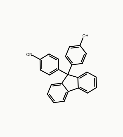 O=Nc1ccc(C2(c3ccc(O)cc3)c3ccccc3-c3ccccc32)cc1